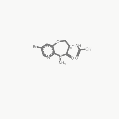 CN1C(=O)[C@@H](NC(=O)O)COc2cc(Br)cnc21